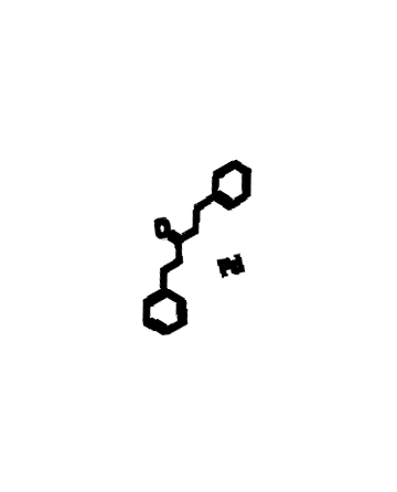 O=C(CCc1ccccc1)CCc1ccccc1.[Pd]